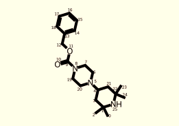 CC1(C)CC(N2CCN(C(=O)OCc3ccccc3)CC2)CC(C)(C)N1